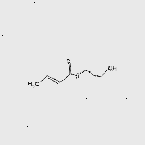 CC=CC(=O)OCCO